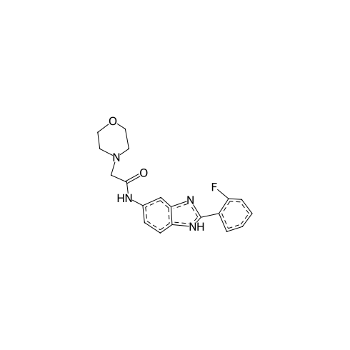 O=C(CN1CCOCC1)Nc1ccc2[nH]c(-c3ccccc3F)nc2c1